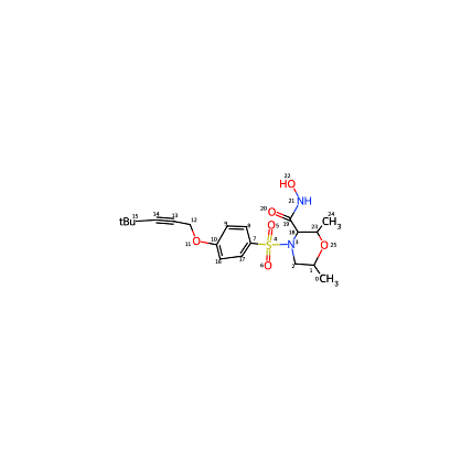 CC1CN(S(=O)(=O)c2ccc(OCC#CC(C)(C)C)cc2)C(C(=O)NO)C(C)O1